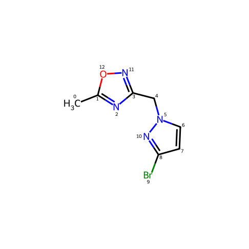 Cc1nc(Cn2ccc(Br)n2)no1